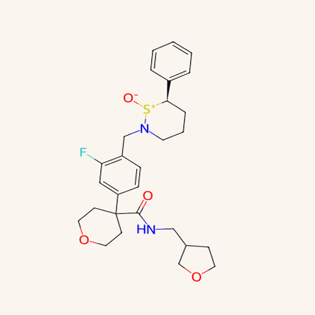 O=C(NCC1CCOC1)C1(c2ccc(CN3CCC[C@H](c4ccccc4)[S+]3[O-])c(F)c2)CCOCC1